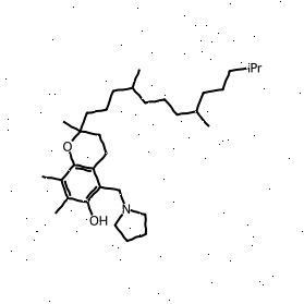 Cc1c(C)c2c(c(CN3CCCC3)c1O)CCC(C)(CCCC(C)CCCC(C)CCCC(C)C)O2